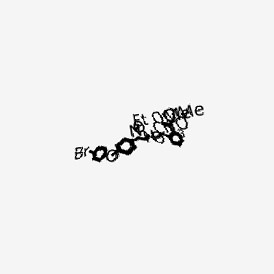 CCON=C(C=NOC(C)c1ccccc1C(=COC)C(=O)OC)c1ccc(Oc2ccc(Br)cc2)cc1